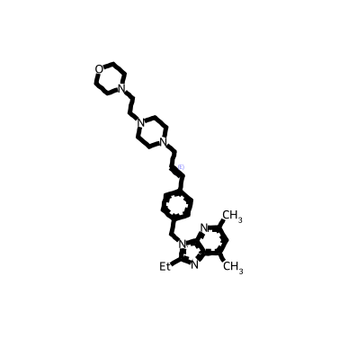 CCc1nc2c(C)cc(C)nc2n1Cc1ccc(/C=C/CN2CCN(CCN3CCOCC3)CC2)cc1